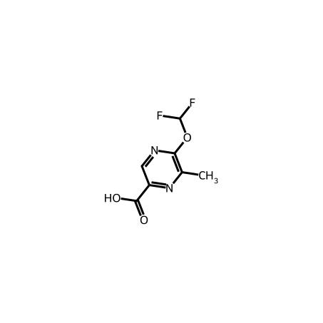 Cc1nc(C(=O)O)cnc1OC(F)F